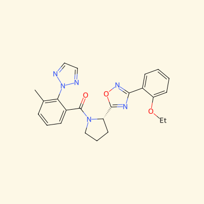 CCOc1ccccc1-c1noc([C@@H]2CCCN2C(=O)c2cccc(C)c2-n2nccn2)n1